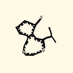 CC(C)c1ncnc2cccc(F)c12